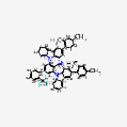 Cc1ccc(-c2ccc3c(c2)c2ccccc2n3-c2cc(-c3ccccc3C(F)(F)F)cc(-n3c4ccccc4c4cc(-c5ccc(C)cc5C)ccc43)c2C#N)c(C)c1